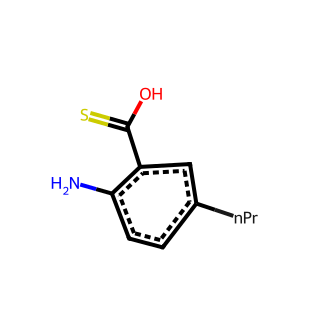 CCCc1ccc(N)c(C(O)=S)c1